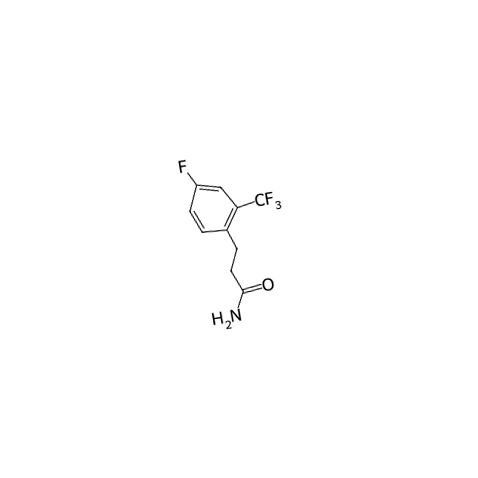 NC(=O)CCc1ccc(F)cc1C(F)(F)F